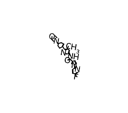 Cc1cc(NC(=O)c2ccn(-c3ccc(F)cn3)c2)cnc1C1=CCC(N2CCOCC2)CC1